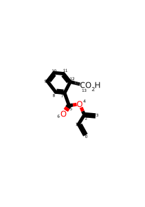 C=CC(=C)OC(=O)c1ccccc1C(=O)O